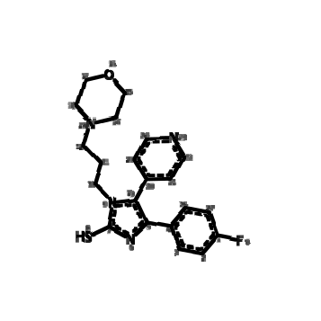 Fc1ccc(-c2nc(S)n(CCCN3CCOCC3)c2-c2ccncc2)cc1